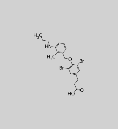 CCCNc1cccc(COc2c(Br)cc(CCC(=O)O)cc2Br)c1C